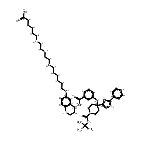 CC(C)(C)OC(=O)N1CCC(Nc2cccc(C(=O)N[C@@H]3CCOc4ccc(OCCCCCCOCCOCCOCCCCCC(=O)O)cc43)c2)(c2nnc(-c3ccncc3)[nH]2)CC1